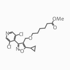 COC(=O)CCCCCOCc1c(-c2c(Cl)cncc2Cl)noc1C1CC1